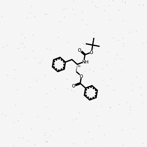 CC(C)(C)OC(=O)N[C@H](COC(=O)c1ccccc1)Cc1ccccc1